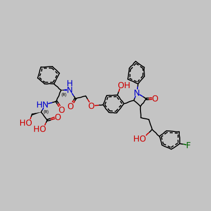 O=C(COc1ccc(C2C(CCC(O)c3ccc(F)cc3)C(=O)N2c2ccccc2)c(O)c1)N[C@@H](C(=O)N[C@H](CO)C(=O)O)c1ccccc1